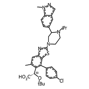 Cc1cc2nc(N3CCN(C(C)C)C(c4ccc5c(cnn5C)c4)C3)sc2c(-c2ccc(Cl)cc2)c1[C@H](OC(C)(C)C)C(=O)O